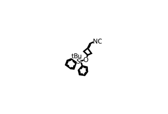 [C-]#[N+]C=C1CC(O[Si](c2ccccc2)(c2ccccc2)C(C)(C)C)C1